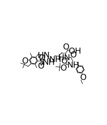 CCOc1ccc(C[C@H](NC(=O)OC(C)(C)C)C(=O)N[C@@H](CCCNC(=N)NS(=O)(=O)c2c(C)c(C)c3c(c2C)CC(C)(C)O3)C(=O)O)cc1